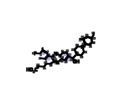 C/C=C(\C=C/CF)/C=N/C(C)/C=C\C(=C/C/N=C(\C)CCCCC(=O)O)C(O)N1CCN(c2ccc(C)cc2C)CC1